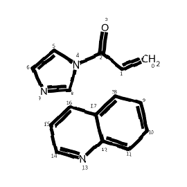 C=CC(=O)n1ccnc1.c1ccc2ncccc2c1